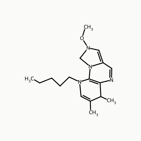 CCCCCN1C=C(C)C(C)C2=C1N1CN(OC)C=C1C=N2